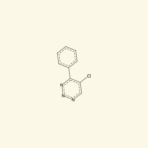 Clc1cnnnc1-c1ccccc1